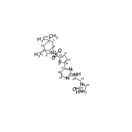 CC1(C)CC2CC(C)(CN2S(=O)(=O)c2ccc(-c3ccnc(NCCN4CCNC4=O)n3)s2)C1